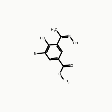 COC(=O)c1cc(Br)c(O)c(/C(C)=N\O)c1